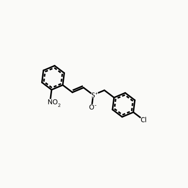 O=[N+]([O-])c1ccccc1/C=C/[S+]([O-])Cc1ccc(Cl)cc1